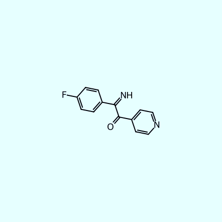 N=C(C(=O)c1ccncc1)c1ccc(F)cc1